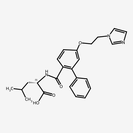 CC(C)C[C@H](NC(=O)c1ccc(OCCn2ccnc2)cc1-c1ccccc1)C(=O)O